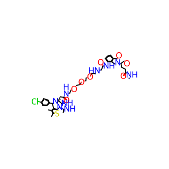 CNC(=O)CCC(C=O)N1Cc2c(NC(=O)CNCCOCCOCCOCCNC(=O)C[C@@H]3N=C(c4ccc(Cl)cc4)c4c(sc(C)c4C)N(C(C)=N)C3=N)cccc2C1=O